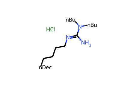 CCCCCCCCCCCCCC/N=C(\N)N(CCCC)CCCC.Cl